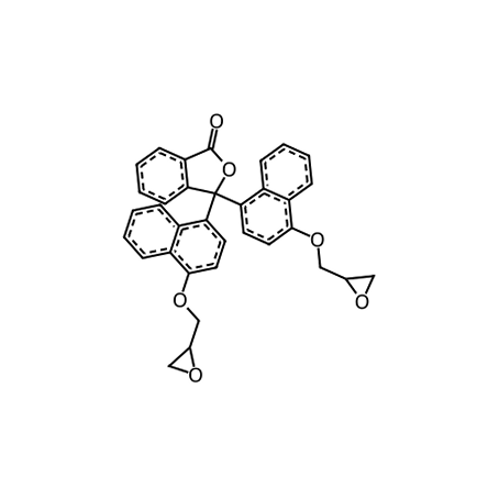 O=C1OC(c2ccc(OCC3CO3)c3ccccc23)(c2ccc(OCC3CO3)c3ccccc23)c2ccccc21